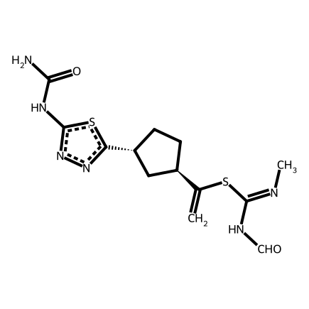 C=C(S/C(=N\C)NC=O)[C@@H]1CC[C@@H](c2nnc(NC(N)=O)s2)C1